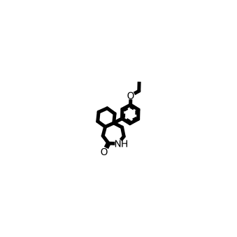 CCOc1cccc(C23CCCCC2CC(=O)NCC3)c1